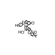 CC(C)n1ccc(=O)n(Cc2cc3c(-c4cc(Cl)cc5ccn(CC6(F)CCNCC6)c45)ncnn3c2)c1=O.Cl